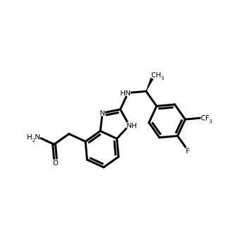 C[C@H](Nc1nc2c(CC(N)=O)cccc2[nH]1)c1ccc(F)c(C(F)(F)F)c1